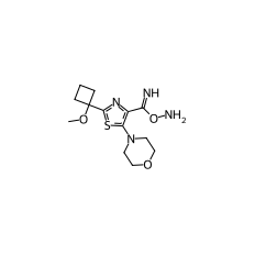 COC1(c2nc(C(=N)ON)c(N3CCOCC3)s2)CCC1